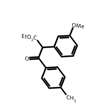 CCOC(=O)C(C(=O)c1ccc(C)cc1)c1cccc(OC)c1